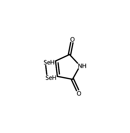 O=C1C=CC(=O)N1.[SeH][SeH]